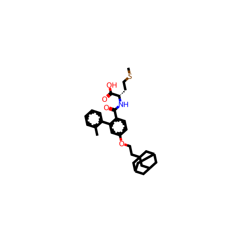 CSCC[C@H](NC(=O)c1ccc(OCCC23CC4CC(CC(C4)C2)C3)cc1-c1ccccc1C)C(=O)O